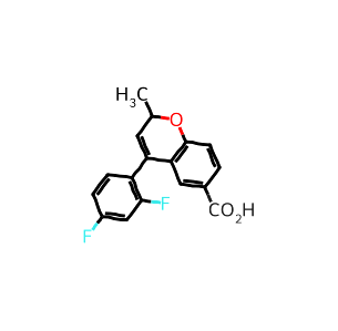 CC1C=C(c2ccc(F)cc2F)c2cc(C(=O)O)ccc2O1